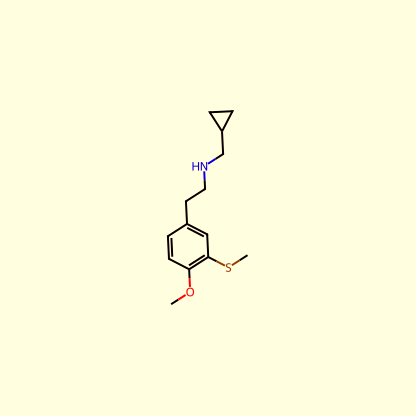 COc1ccc(CCNCC2CC2)cc1SC